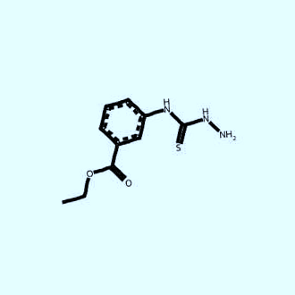 CCOC(=O)c1cccc(NC(=S)NN)c1